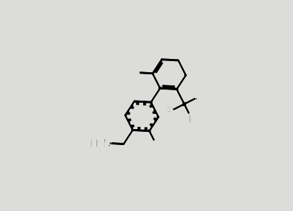 NCc1ccc(C2=C(C(F)(F)F)[CH]CC=C2F)cc1F